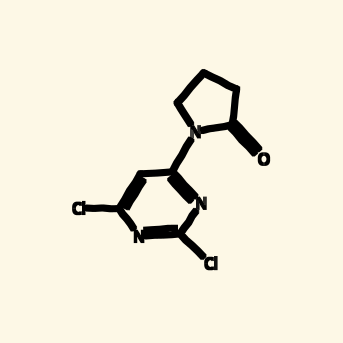 O=C1CCCN1c1cc(Cl)nc(Cl)n1